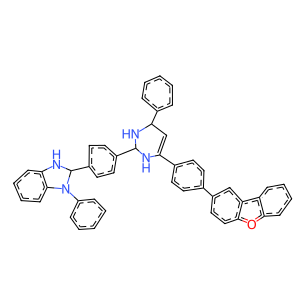 C1=C(c2ccc(-c3ccc4oc5ccccc5c4c3)cc2)NC(c2ccc(C3Nc4ccccc4N3c3ccccc3)cc2)NC1c1ccccc1